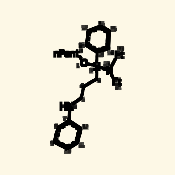 CCCCCO[Si](CCCNc1ccccc1)(c1ccccc1)N(CC)CC